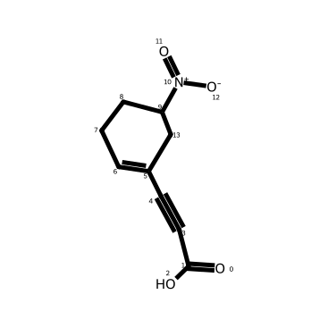 O=C(O)C#CC1=CCCC([N+](=O)[O-])C1